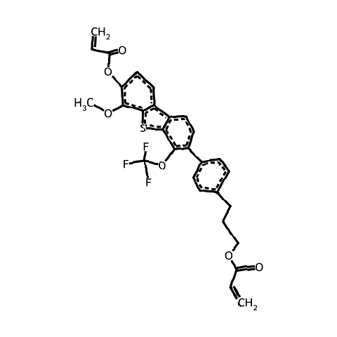 C=CC(=O)OCCCc1ccc(-c2ccc3c(sc4c(OC)c(OC(=O)C=C)ccc43)c2OC(F)(F)F)cc1